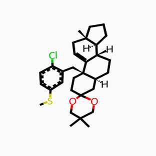 CSc1ccc(Cl)c(C[C@]23CCC4(C[C@@H]2CC[C@@H]2C3=CC[C@]3(C)CCC[C@@H]23)OCC(C)(C)CO4)c1